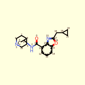 O=C(NC1CN2CCC1CC2)c1cccc2oc(CC3CC3)nc12